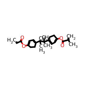 C=CC(=O)OC1=CC=C(C(C)(C)C(C)(C)C2=CC=C(OC(=O)C(=C)C)CC2)CC1